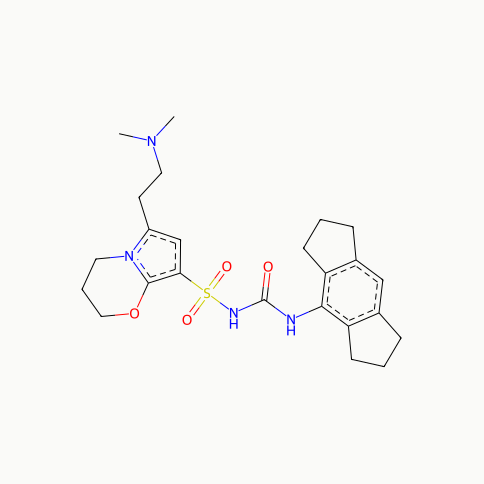 CN(C)CCc1cc(S(=O)(=O)NC(=O)Nc2c3c(cc4c2CCC4)CCC3)c2n1CCCO2